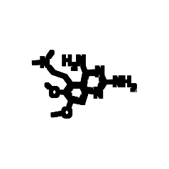 COc1cc2nc(N)nc(N)c2c(CCN(C)C)c1OC